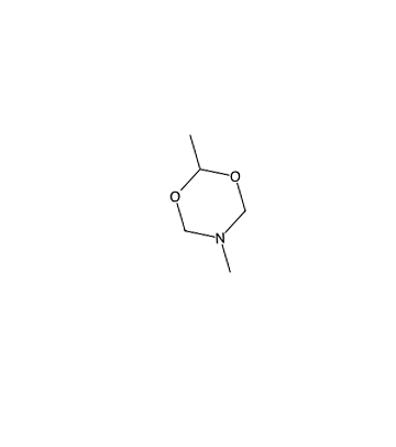 CC1OCN(C)CO1